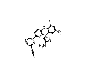 CC#Cc1cncc(-c2ccc3c(c2)[C@@]2(COC(N)=N2)c2cc(OC)cc(F)c2O3)n1